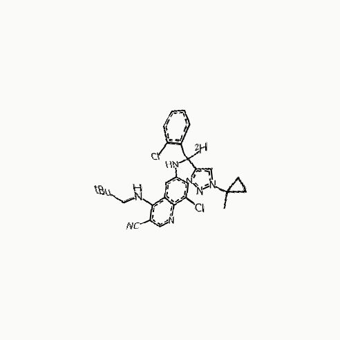 [2H]C(Nc1cc(Cl)c2ncc(C#N)c(NCC(C)(C)C)c2c1)(c1cn(C2(C)CC2)nn1)c1ccccc1Cl